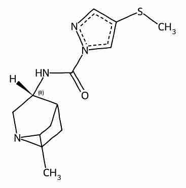 CSc1cnn(C(=O)N[C@H]2CN3CCC2CC3C)c1